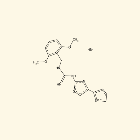 Br.COc1cccc(OC)c1CNC(=N)Nc1nc(-c2cccs2)cs1